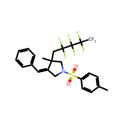 Cc1ccc(S(=O)(=O)N2C/C(=C/c3ccccc3)C(C)(CC(F)(F)C(F)(F)C(F)(F)C(F)(F)F)C2)cc1